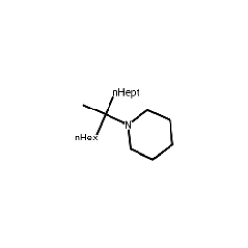 CCCCCCCC(C)(CCCCCC)N1CCCCC1